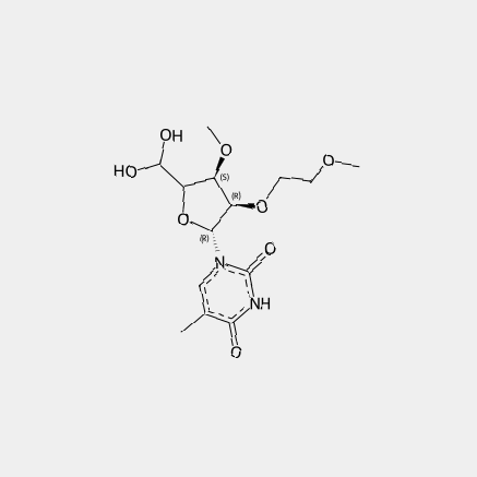 COCCO[C@@H]1[C@H](OC)C(C(O)O)O[C@H]1n1cc(C)c(=O)[nH]c1=O